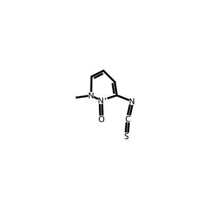 Cn1cccc(N=C=S)[n+]1=O